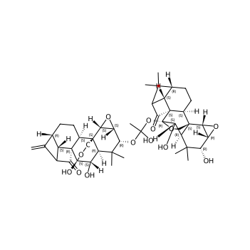 C=C1C2C(=O)[C@]34[C@H]2[C@H]1CC[C@H]3[C@@]12CO[C@]4(O)[C@@H](O)[C@@H]1C(C)(C)[C@@H](OC(C)(O)O[C@@]13OC[C@]4([C@@H]5O[C@@H]5[C@H](O)C(C)(C)[C@H]4[C@@H]1O)[C@@H]1CC[C@@H]4[C@H]5C(C(=O)[C@]513)C4(C)C)[C@H]1O[C@H]12